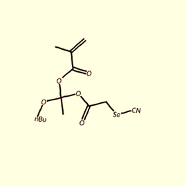 C=C(C)C(=O)OC(C)(OCCCC)OC(=O)C[Se]C#N